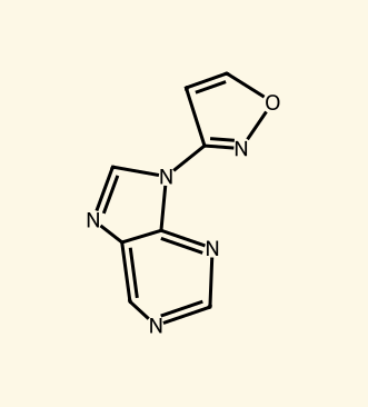 c1ncc2ncn(-c3ccon3)c2n1